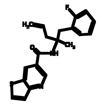 C=CCC(C)(Cc1ccccc1F)NC(=O)c1cnc2ccsc2c1